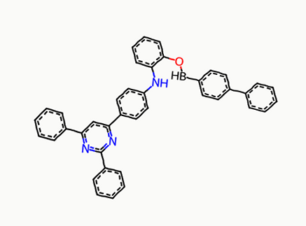 B(Oc1ccccc1Nc1ccc(-c2cc(-c3ccccc3)nc(-c3ccccc3)n2)cc1)c1ccc(-c2ccccc2)cc1